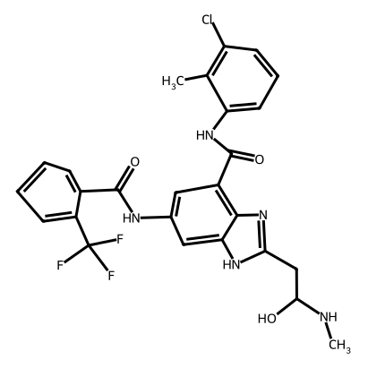 CNC(O)Cc1nc2c(C(=O)Nc3cccc(Cl)c3C)cc(NC(=O)c3ccccc3C(F)(F)F)cc2[nH]1